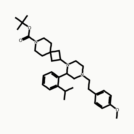 COc1ccc(CCN2CCN(C3CC4(CCN(C(=O)OC(C)(C)C)CC4)C3)C(c3ccccc3C(C)C)C2)cc1